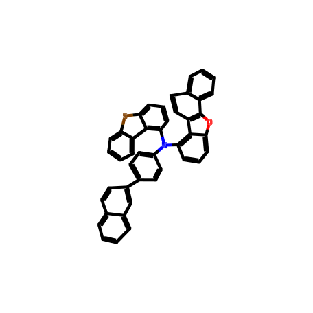 c1ccc2cc(-c3ccc(N(c4cccc5oc6c7ccccc7ccc6c45)c4cccc5sc6ccccc6c45)cc3)ccc2c1